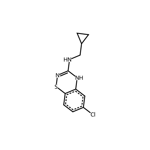 Clc1ccc2c(c1)NC(NCC1CC1)=NS2